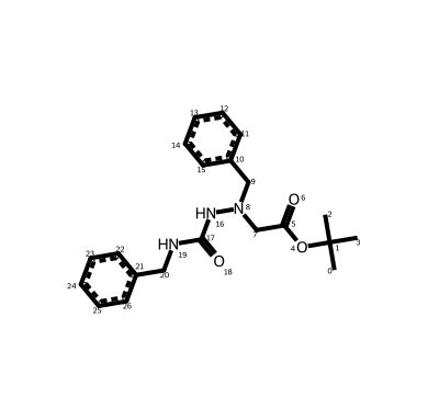 CC(C)(C)OC(=O)CN(Cc1ccccc1)NC(=O)NCc1ccccc1